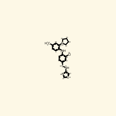 Cc1ccc(Nc2ccc(SNc3cscn3)cc2Cl)c(N2CCCC2)c1